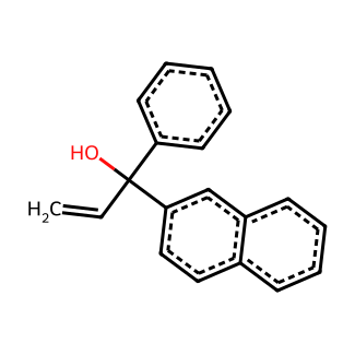 C=CC(O)(c1ccccc1)c1ccc2ccccc2c1